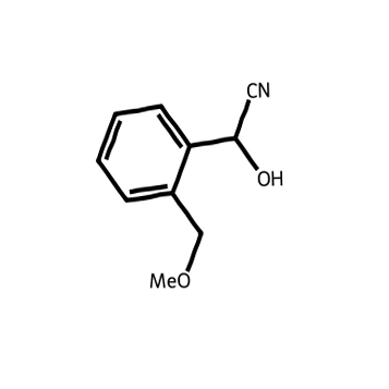 COCc1ccccc1C(O)C#N